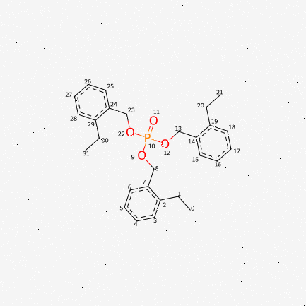 CCc1ccccc1COP(=O)(OCc1ccccc1CC)OCc1ccccc1CC